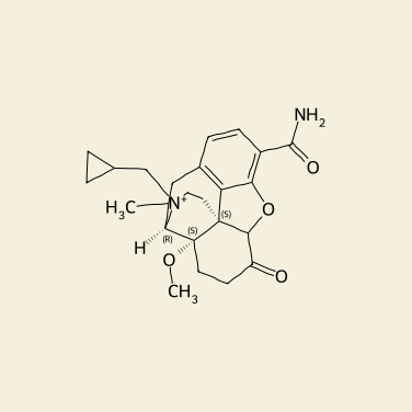 CO[C@@]12CCC(=O)C3Oc4c(C(N)=O)ccc5c4[C@@]31CC[N+](C)(CC1CC1)[C@@H]2C5